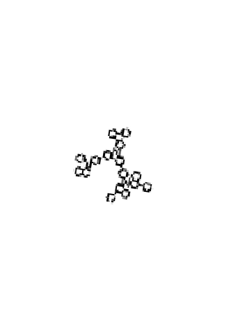 c1ccc(-c2ccc(N(c3ccc(-c4ccc5c(c4)c4cc(-c6ccc(N(c7ccccc7)c7cccc8ccccc78)cc6)ccc4n5-c4ccc5c6ccccc6c6ccccc6c5c4)cc3)c3ccc(-c4ccccc4)c4ccccc34)c3ccccc23)cc1